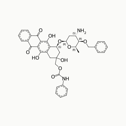 C[C@H]1O[C@@H](O[C@H]2CC(O)(COC(=O)Nc3ccccc3)Cc3c(O)c4c(c(O)c32)C(=O)c2ccccc2C4=O)C[C@H](N)[C@H]1OCc1ccccc1